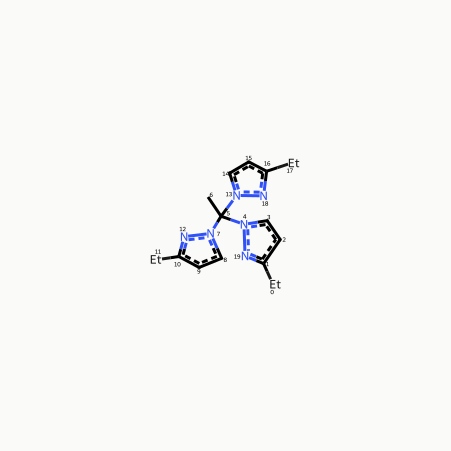 CCc1ccn(C(C)(n2ccc(CC)n2)n2ccc(CC)n2)n1